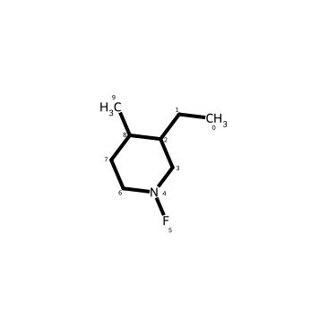 CCC1CN(F)CCC1C